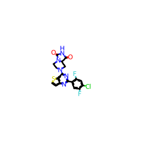 O=C1NC(=O)N2CCN(c3nc(-c4cc(F)c(Cl)cc4F)nc4ccsc34)CC12